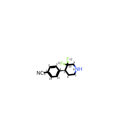 N#Cc1ccc([C@@H]2CCNCC2(F)F)cc1